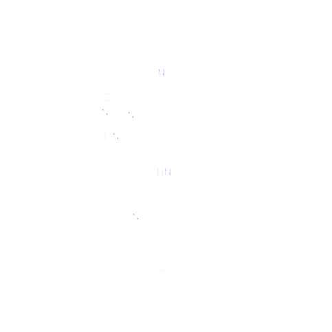 CCN=C(NCCCOc1c2[nH]c3ccc(F)cc3c2cc2c1[nH]c1ccc(F)cc12)NCCCN(C)C